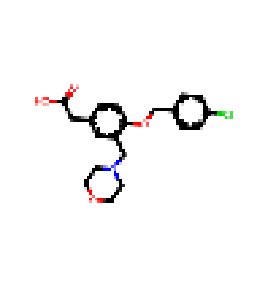 O=C(O)Cc1ccc(OCc2ccc(Cl)cc2)c(CN2CCOCC2)c1